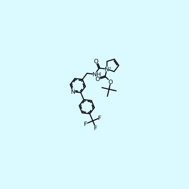 CC(C)(C)OC(=O)[N+]1(C(=O)NCc2ccnc(-c3ccc(C(F)(F)F)cc3)c2)CC=CC1